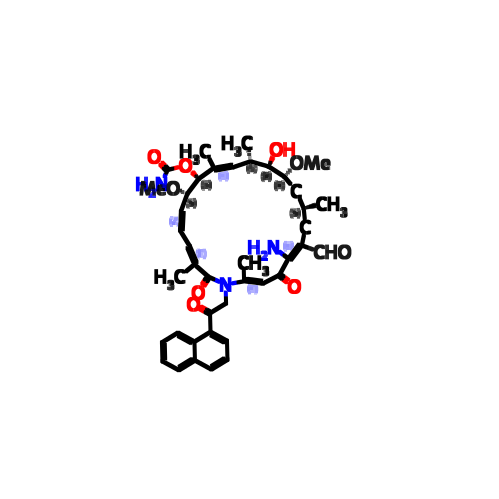 CO[C@H]1/C=C\C=C(/C)C(=O)N(CC(=O)c2cccc3ccccc23)/C(C)=C/C(=O)/C(N)=C(\C=O)C[C@H](C)C[C@@H](OC)[C@H](O)[C@@H](C)/C=C(\C)[C@@H]1OC(N)=O